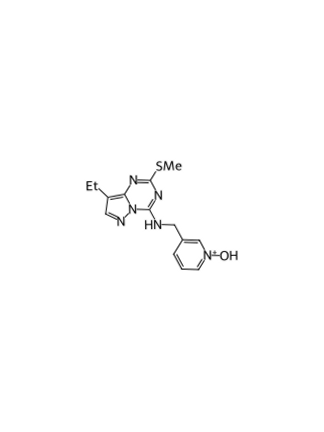 CCc1cnn2c(NCc3ccc[n+](O)c3)nc(SC)nc12